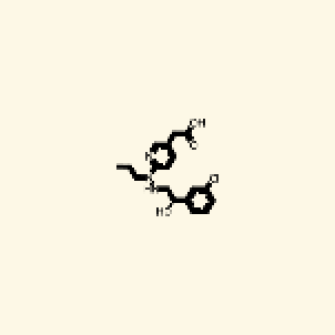 CCCN(NC[C@H](O)c1cccc(Cl)c1)c1ccc(CC(=O)O)cn1